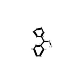 [S]SC(c1ccccc1)c1ccccc1